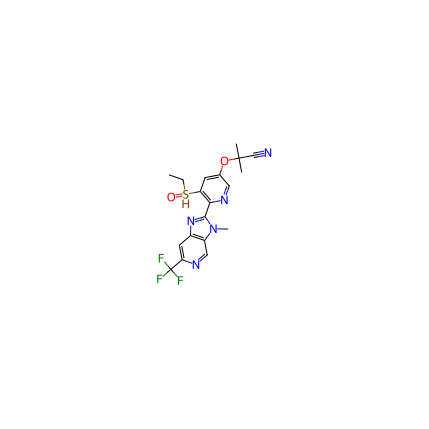 CC[SH](C)(=O)c1cc(OC(C)(C)C#N)cnc1-c1nc2cc(C(F)(F)F)ncc2n1C